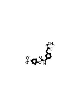 COC(=O)Cc1cccc(NC(=O)Oc2ccc([N+](=O)[O-])cc2)c1